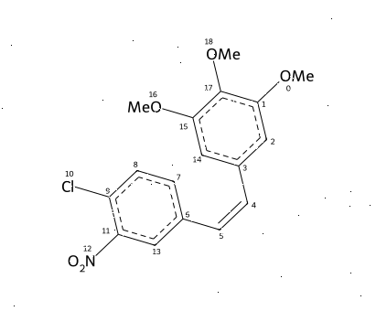 COc1cc(/C=C\c2ccc(Cl)c([N+](=O)[O-])c2)cc(OC)c1OC